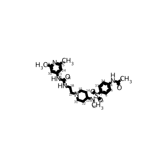 CC(=O)Nc1ccc(S(=O)(=O)N(C)C2CCN(CCNC(=O)Nc3cc(C)nc(C)c3)CC2)cc1